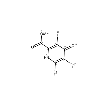 CCCc1c(CC)[nH]c(C(=O)OC)c(I)c1=O